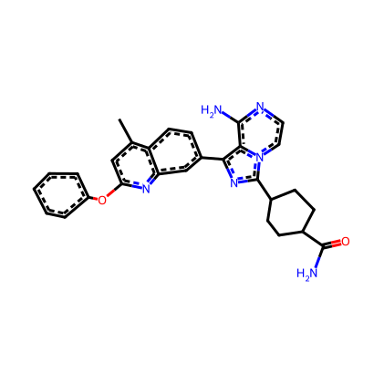 Cc1cc(Oc2ccccc2)nc2cc(-c3nc(C4CCC(C(N)=O)CC4)n4ccnc(N)c34)ccc12